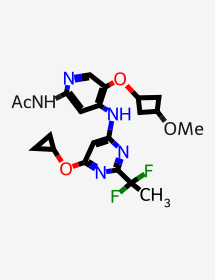 COC1CC(Oc2cnc(NC(C)=O)cc2Nc2cc(OC3CC3)nc(C(C)(F)F)n2)C1